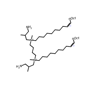 CCCCCCCC/C=C\CCCCCCCC[N+](C)(CCCC[N+](C)(CCCCCCCC/C=C\CCCCCCCC)CC(C)CN)CC(C)CN